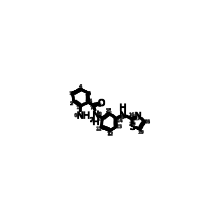 Nc1ccccc1C(=O)Nc1cccc(Nc2nccs2)c1